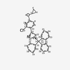 Clc1nc(OC2CC2)ccc1-c1cn(C(c2ccccc2)(c2ccccc2)c2ccccc2)cn1